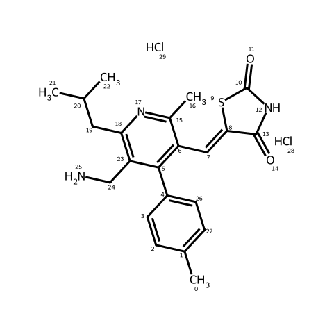 Cc1ccc(-c2c(C=C3SC(=O)NC3=O)c(C)nc(CC(C)C)c2CN)cc1.Cl.Cl